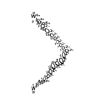 [In+3].[In+3].[Mo+6].[Mo+6].[O-2].[O-2].[O-2].[O-2].[O-2].[O-2].[O-2].[O-2].[O-2].[O-2].[O-2].[O-2].[O-2].[O-2].[O-2].[W+6].[W+6]